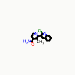 Cc1c(C(N)=O)ccnc1-c1cc2ccccc2nc1Cl